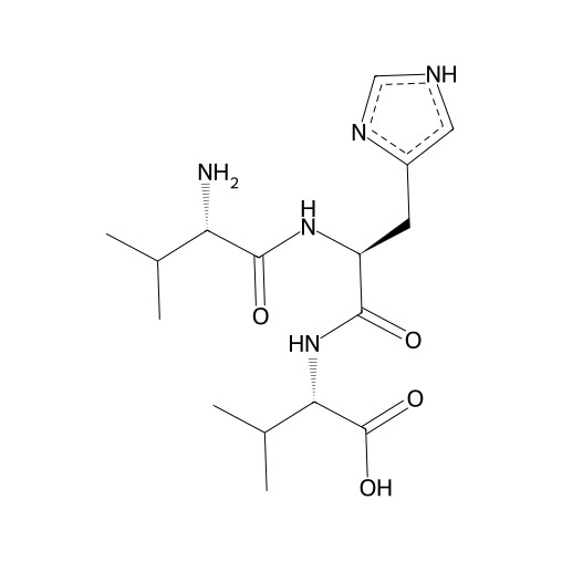 CC(C)[C@H](N)C(=O)N[C@@H](Cc1c[nH]cn1)C(=O)N[C@H](C(=O)O)C(C)C